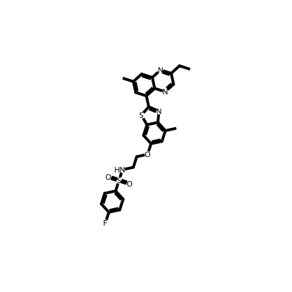 CCc1cnc2c(-c3nc4c(C)cc(OCCNS(=O)(=O)c5ccc(F)cc5)cc4s3)cc(C)cc2n1